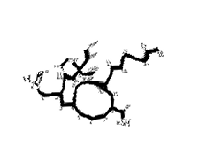 BCC(CC1CCCC(CS)CC(CCCCCC)CC1)[C@H](CC)CC(C)(C)CC